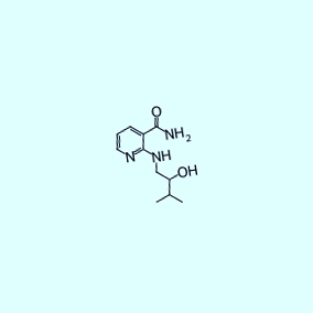 CC(C)C(O)CNc1ncccc1C(N)=O